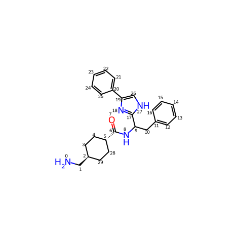 NC[C@H]1CC[C@H](C(=O)NC(Cc2ccccc2)c2nc(-c3ccccc3)c[nH]2)CC1